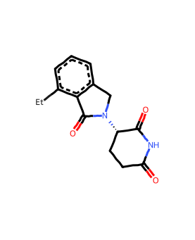 CCc1cccc2c1C(=O)N([C@H]1CCC(=O)NC1=O)C2